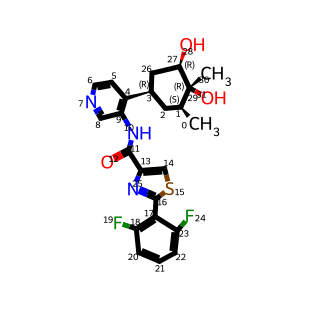 C[C@H]1C[C@@H](c2ccncc2NC(=O)c2csc(-c3c(F)cccc3F)n2)C[C@@H](O)[C@]1(C)O